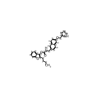 CCCCc1oc2ccccc2c1OC(=O)NCc1ccc2cc(OCc3nnn[nH]3)ccc2c1